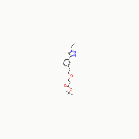 CCn1cc(-c2cccc(CCOCCC(=O)OC(C)(C)C)c2)nn1